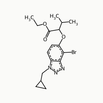 CCOC(=O)C(Oc1ccc2c(nnn2CC2CC2)c1Br)C(C)C